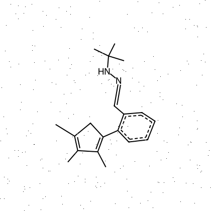 CC1=C(C)C(C)=C(c2ccccc2C=NNC(C)(C)C)C1